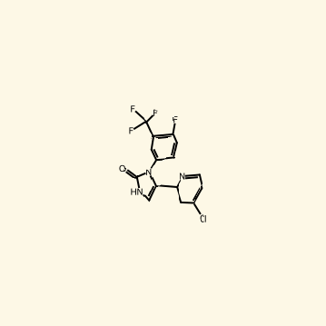 O=c1[nH]cc(C2CC(Cl)=CC=N2)n1-c1ccc(F)c(C(F)(F)F)c1